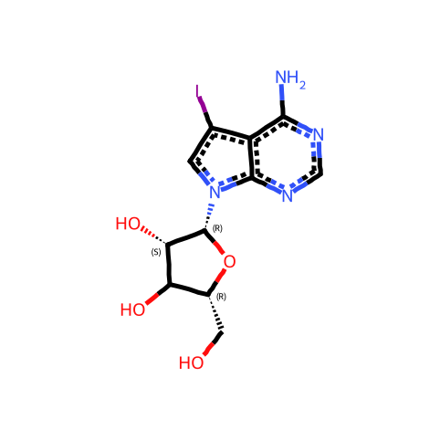 Nc1ncnc2c1c(I)cn2[C@@H]1O[C@H](CO)C(O)[C@@H]1O